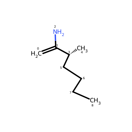 C=C(N)[C@H](C)CCCC